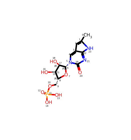 Cc1cc2cn([C@@H]3O[C@H](COP(=O)(O)O)[C@@H](O)[C@H]3O)c(=O)nc2[nH]1